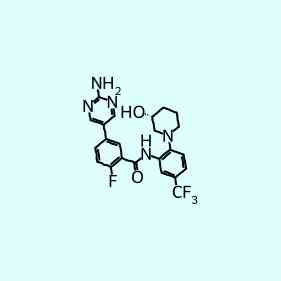 Nc1ncc(-c2ccc(F)c(C(=O)Nc3cc(C(F)(F)F)ccc3N3CCC[C@@H](O)C3)c2)cn1